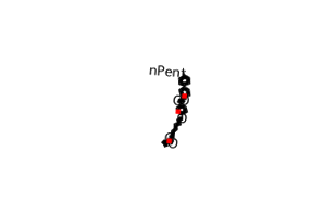 C=C(C)C(=O)OCCCCCCO[C@H]1CC[C@H](C(=O)OC2CCC([C@H]3CC[C@H](CCCCC)CC3)CC2)CC1